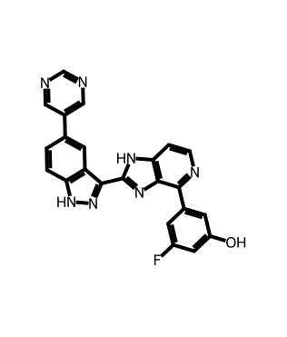 Oc1cc(F)cc(-c2nccc3[nH]c(-c4n[nH]c5ccc(-c6cncnc6)cc45)nc23)c1